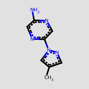 Cc1cnn(-c2cnc(N)cn2)c1